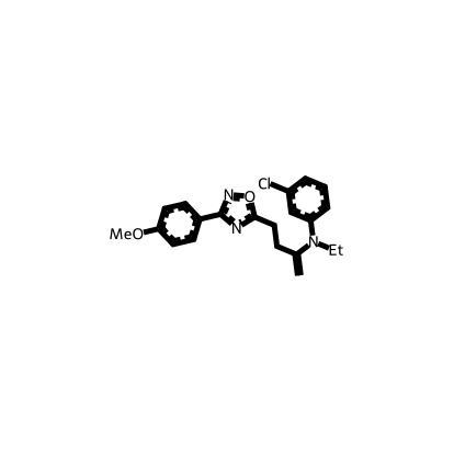 C=C(CCc1nc(-c2ccc(OC)cc2)no1)N(CC)c1cccc(Cl)c1